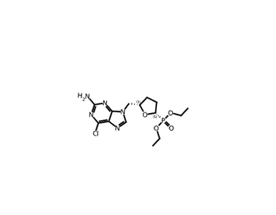 CCOP(=O)(OCC)[C@H]1CC[C@@H](Cn2cnc3c(Cl)nc(N)nc32)O1